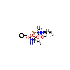 CC(Br)C(OC(=O)[C@H](C)NC(=O)OCc1ccccc1)C(=O)NC(C)(C)C